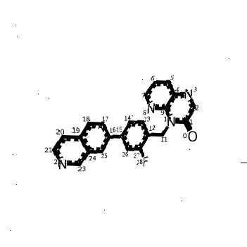 O=c1cnc2cccnc2n1Cc1ccc(-c2ccc3ccncc3c2)cc1F